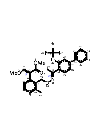 CO/C=C(/C(=O)OC)c1cccc(C)c1CO/N=C(\C)c1ccc(-c2ccccc2)cc1OC(F)(F)I